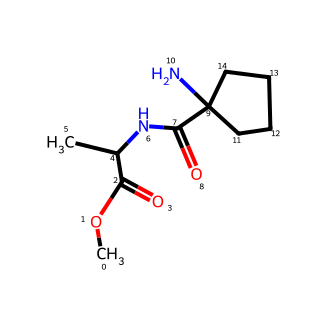 COC(=O)C(C)NC(=O)C1(N)CCCC1